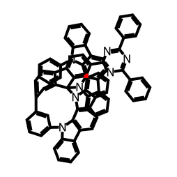 c1ccc(-c2nc(-c3ccccc3)nc(-c3ccc4c(c3)C3(n5c6ccccc6c6ccc7c8ccccc8n(-c8ccccc8)c7c65)c5cc(ccc5-4)-c4cccc(c4)-n4c5ccccc5c5ccc6c7ccccc7n3c6c54)n2)cc1